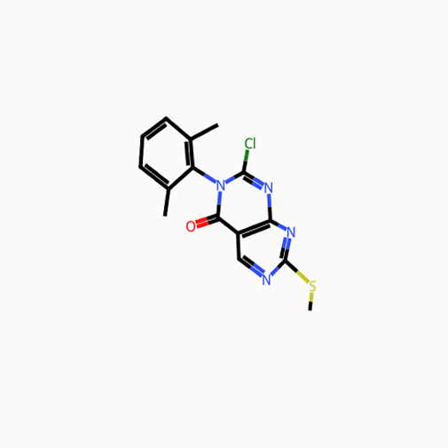 CSc1ncc2c(=O)n(-c3c(C)cccc3C)c(Cl)nc2n1